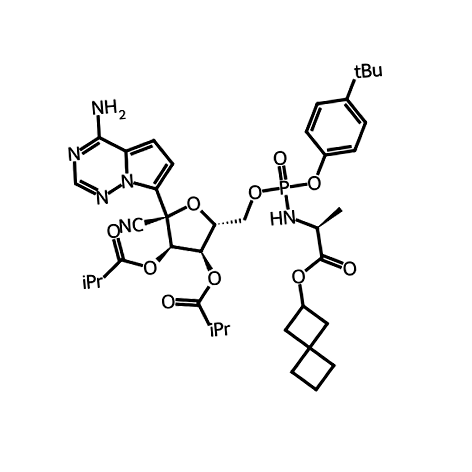 CC(C)C(=O)O[C@H]1[C@@H](OC(=O)C(C)C)[C@](C#N)(c2ccc3c(N)ncnn23)O[C@@H]1COP(=O)(N[C@@H](C)C(=O)OC1CC2(CCC2)C1)Oc1ccc(C(C)(C)C)cc1